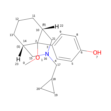 COC1(c2ccc(O)cc2)[C@@H]2CCC[C@H]1CN(CC1CC1)C2